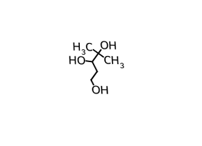 CC(C)(O)C(O)CCO